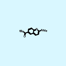 CNc1ccc2cc(C(=O)C(C)(C)C)ccc2n1